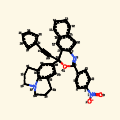 O=[N+]([O-])c1ccc(C2=Nc3cc4ccccc4cc3C(C#Cc3ccccc3)(c3cc4c5c(c3)CCCN5CCC4)O2)cc1